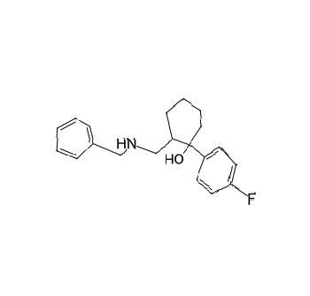 OC1(c2ccc(F)cc2)CCCCC1CNCc1ccccc1